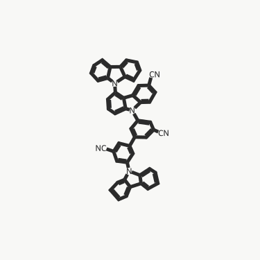 N#Cc1cc(-c2cc(C#N)cc(-n3c4ccc(C#N)cc4c4c(-n5c6ccccc6c6ccccc65)cccc43)c2)cc(-n2c3ccccc3c3ccccc32)c1